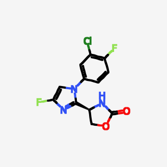 O=C1N[C@H](c2nc(F)cn2-c2ccc(F)c(Cl)c2)CO1